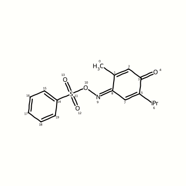 CC1=CC(=O)C(C(C)C)=C/C1=N/OS(=O)(=O)c1ccccc1